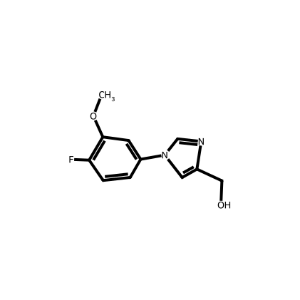 COc1cc(-n2cnc(CO)c2)ccc1F